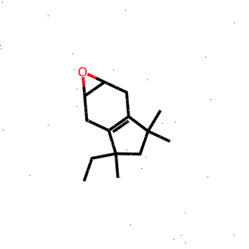 CCC1(C)CC(C)(C)C2=C1CC1OC1C2